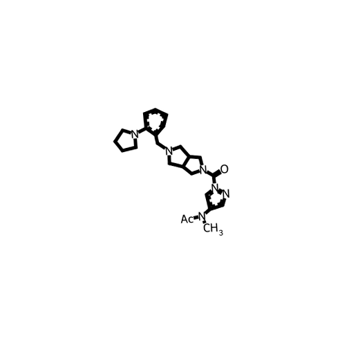 CC(=O)N(C)c1cnn(C(=O)N2CC3CN(Cc4ccccc4N4CCCC4)CC3C2)c1